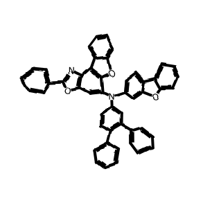 c1ccc(-c2nc3c(cc(N(c4ccc(-c5ccccc5)c(-c5ccccc5)c4)c4ccc5c(c4)oc4ccccc45)c4oc5ccccc5c43)o2)cc1